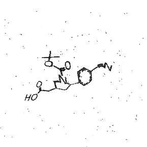 CC(C)(C)OC(=O)N1CC(CC(=O)O)CC1c1ccc(C#N)cc1